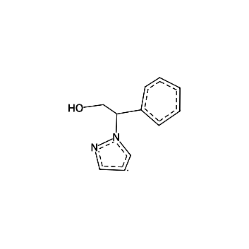 OCC(c1ccccc1)n1c[c]cn1